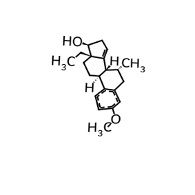 CC[C@]12CC[C@@H]3c4ccc(OC)cc4C[C@@H](C)[C@H]3C1=CC[C@@H]2O